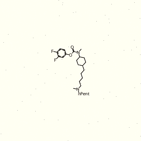 CCCCCN(C)CCCCCC1CCC(N(C)C(=O)Oc2ccc(F)c(F)c2)CC1